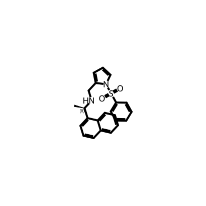 C[C@@H](NCc1cccn1S(=O)(=O)c1ccccc1)c1cccc2ccccc12